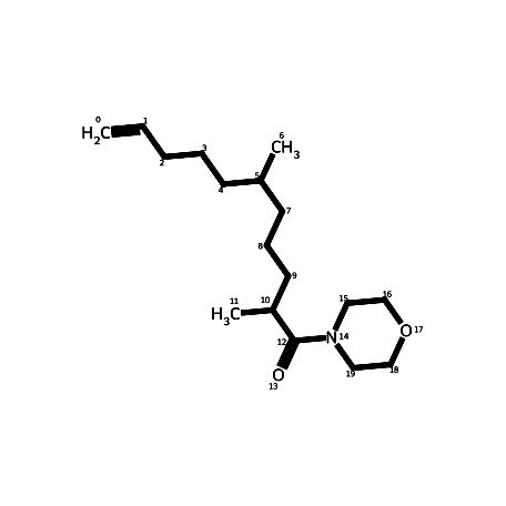 C=CCCCC(C)CCCC(C)C(=O)N1CCOCC1